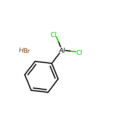 Br.[Cl][Al]([Cl])[c]1ccccc1